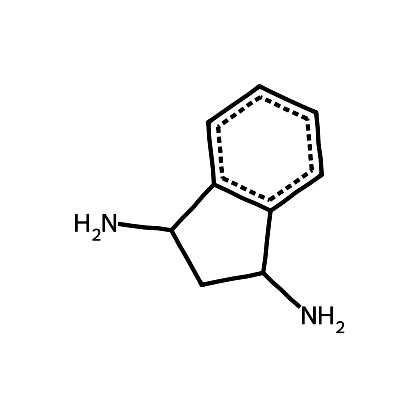 NC1CC(N)c2ccccc21